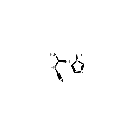 Cn1ccnc1.N#CNC(=N)N